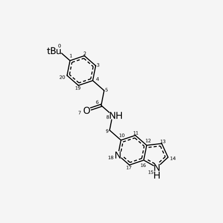 CC(C)(C)c1ccc(CC(=O)NCc2cc3cc[nH]c3cn2)cc1